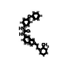 CC1CCCCN1CCn1cc2cc(NC(=O)Nc3ccc(Oc4ccccc4)cc3)ccc2n1